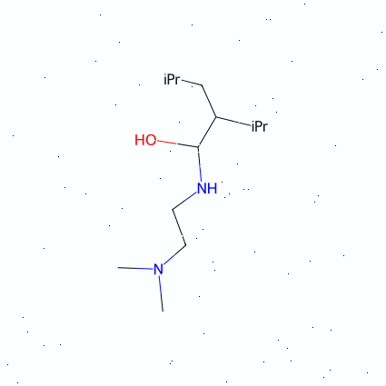 CC(C)CC(C(C)C)C(O)NCCN(C)C